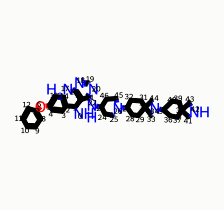 N=C(c1ccc(Oc2ccccc2)cc1)c1c(N)ncnc1NC1CCN(C2CCC3(CC2)CN(C2CCC4(CC2)CNC4)C3)CC1